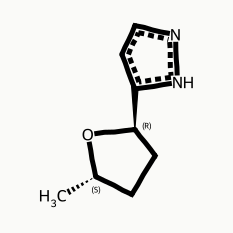 C[C@H]1CC[C@H](c2ccn[nH]2)O1